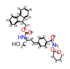 CN(OC1CCCCO1)C(=O)c1ccc(CCC(NC(=O)OCC2c3ccccc3-c3ccccc32)C(=O)O)cc1